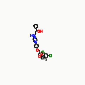 C[C@]1(c2ccc(Cl)cc2Cl)OC[C@@H](COc2ccc(N3CCN(NCCC(O)c4ccccc4)CC3)cc2)O1